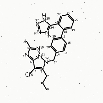 CCCc1c(Cl)c2nc(C)nn2n1Cc1ccc(-c2ccccc2-c2nnn[nH]2)cc1